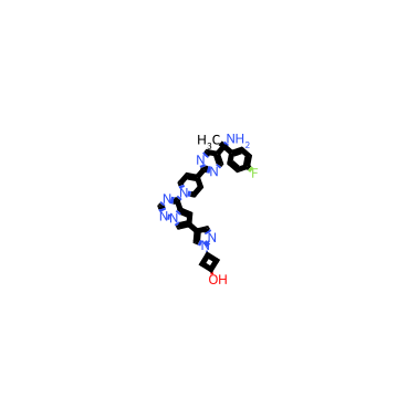 CC(N)(c1ccc(F)cc1)c1cnc(C2=CCN(c3ncnn4cc(-c5cnn([C@H]6C[C@H](O)C6)c5)cc34)CC2)nc1